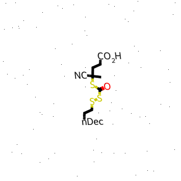 CCCCCCCCCCCCSSC(=O)SC(C)(C#N)CCC(=O)O